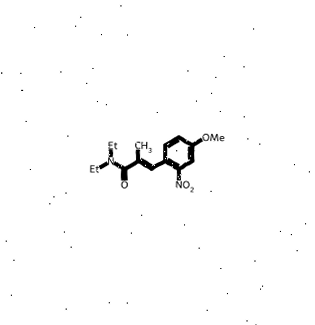 CCN(CC)C(=O)/C(C)=C/c1ccc(OC)cc1[N+](=O)[O-]